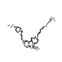 COCCCCCCCN1CCN(C)C(C2CN(CCCCN3CCN(C)CC3)CCN2C)C1